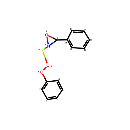 c1ccc(OOSN2OC2c2ccccc2)cc1